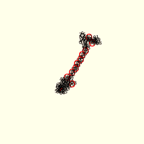 CCC(C1CCCCC1)C1CC(C2CCC(OCCOCCOCCOCCOCCOCCCC(=O)c3ccc(CC(C)C4CC(CC(C)(C)C)[C@](C)(C5CCC(C)CC5C)C4C4CCCC(C)C4C)c(OC)c3)CC2)CC(C(=O)CCC2C(=O)CC(C)CC2C)C1C